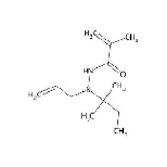 C=CCN(NC(=O)C(=C)C)C(C)(C)CC